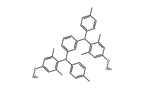 CCCCOc1cc(C)c(N(c2ccc(C)cc2)c2cccc(N(c3ccc(C)cc3)c3c(C)cc(OCCCC)cc3C)c2)c(C)c1